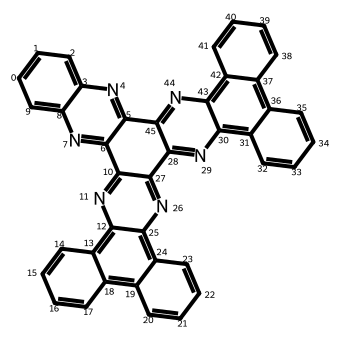 c1ccc2nc3c(nc2c1)c1nc2c4ccccc4c4ccccc4c2nc1c1nc2c4ccccc4c4ccccc4c2nc31